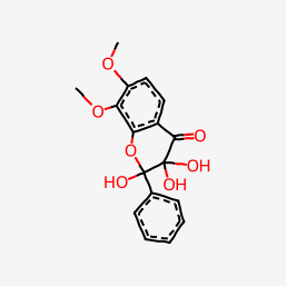 COc1ccc2c(c1OC)OC(O)(c1ccccc1)C(O)(O)C2=O